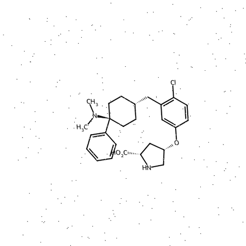 CN(C)[C@]1(c2ccccc2)CC[C@@H](Cc2cc(O[C@@H]3CN[C@H](C(=O)O)C3)ccc2Cl)CC1